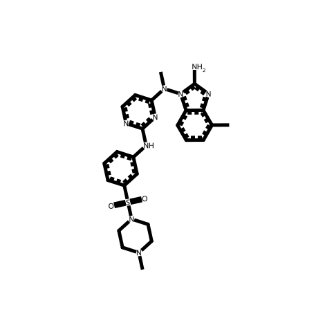 Cc1cccc2c1nc(N)n2N(C)c1ccnc(Nc2cccc(S(=O)(=O)N3CCN(C)CC3)c2)n1